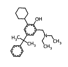 CCN(CC)Cc1cc(C(C)(C)c2ccccc2)cc(C2CCCCC2)c1O